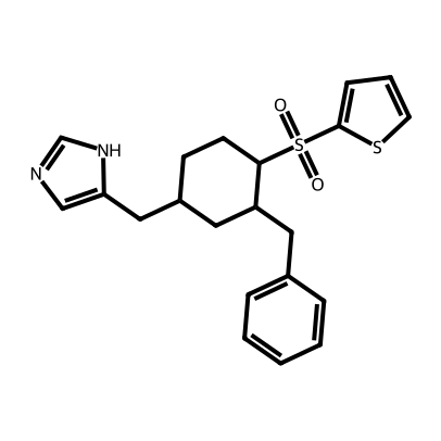 O=S(=O)(c1cccs1)C1CCC(Cc2cnc[nH]2)CC1Cc1ccccc1